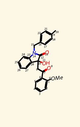 COc1ccccc1C(=O)CC1(O)C(=O)N(Cc2ccc(C)cc2)c2ccccc21